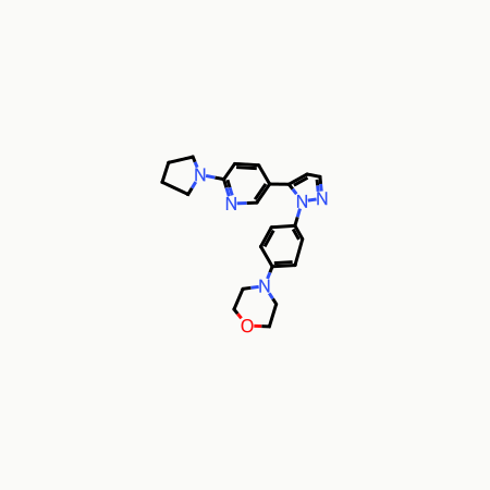 c1cc(-c2ccc(N3CCCC3)nc2)n(-c2ccc(N3CCOCC3)cc2)n1